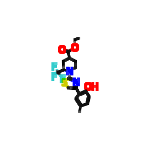 CCOC(=O)C1CCN(c2nc(-c3cc(C)ccc3O)cs2)C(C(F)(F)F)C1